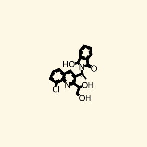 C[C@@H](c1cc2cccc(Cl)c2nc1C(O)CO)N1C(=O)c2ccccc2C1O